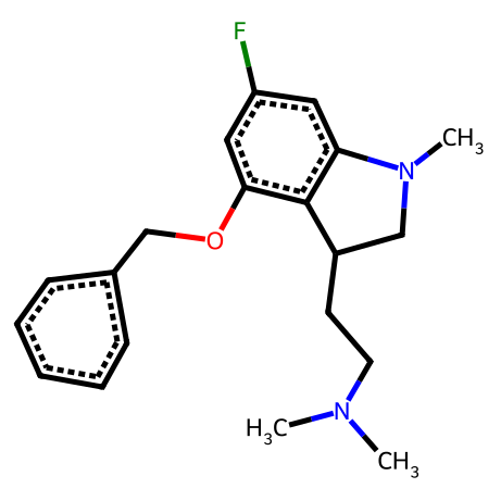 CN(C)CCC1CN(C)c2cc(F)cc(OCc3ccccc3)c21